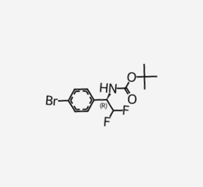 CC(C)(C)OC(=O)N[C@H](c1ccc(Br)cc1)C(F)F